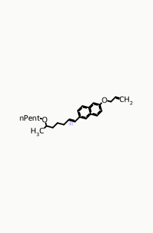 C=CCOc1ccc2cc(/C=C/CCCC(C)OCCCCC)ccc2c1